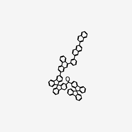 O=C(C1=CCC2C(=C1)C1(c3ccccc3-c3cc(-c4ccc5c(c4)cc(-c4cccc(-c6ccc7cc(-c8ccc9ccccc9c8)ccc7c6)c4)c4ccccc45)ccc31)c1ccccc12)c1ccc2c(c1)C1(c3ccccc3-c3ccccc31)c1ccccc1-2